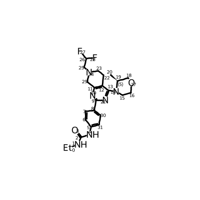 CCNC(=O)Nc1ccc(-c2nc3c(c(N4CCOC[C@@H]4C)n2)CCN(CC(F)F)C3)cc1